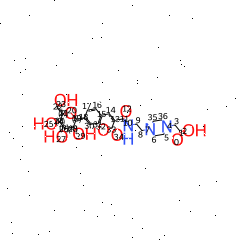 O=C(O)CN1CCN(CCNC(=O)c2cc3ccc([C@@H]4O[C@H](CO)[C@H](O)[C@H](O)[C@H]4O)cc3oc2=O)CC1